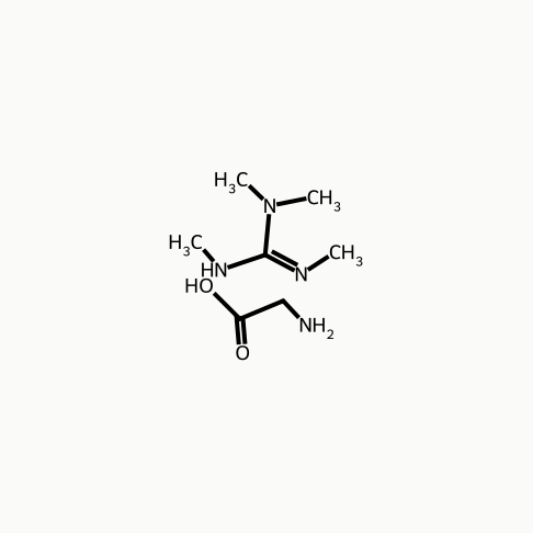 CN=C(NC)N(C)C.NCC(=O)O